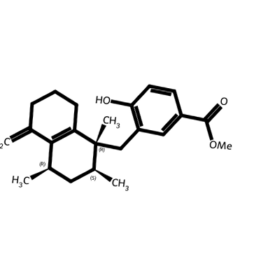 C=C1CCCC2=C1[C@H](C)C[C@H](C)[C@@]2(C)Cc1cc(C(=O)OC)ccc1O